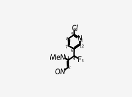 CN/C(=C\N=O)C(F)c1ccc(Cl)nc1